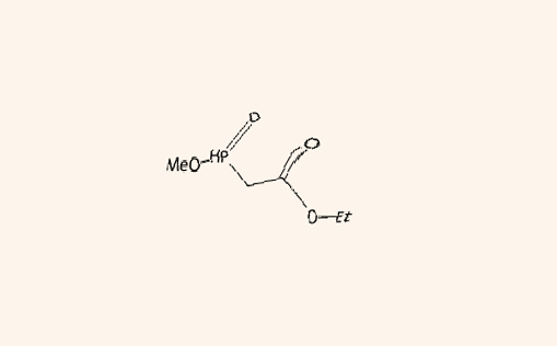 CCOC(=O)C[PH](=O)OC